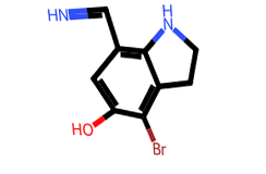 N=Cc1cc(O)c(Br)c2c1NCC2